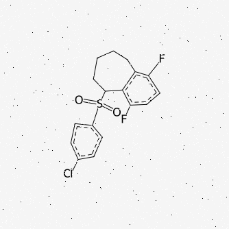 O=S(=O)(c1ccc(Cl)cc1)C1CCCCc2c(F)ccc(F)c21